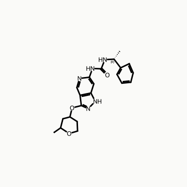 CC1CC(Oc2n[nH]c3cc(NC(=O)N[C@H](C)c4ccccc4)ncc23)CCO1